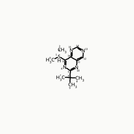 C[SH](C)c1nc(C(C)(C)C)nc2cncnc12